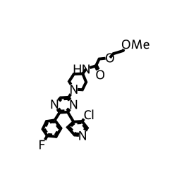 COCCOCC(=O)NC1CCN(c2cnc(-c3ccc(F)cc3)c(-c3ccncc3Cl)n2)CC1